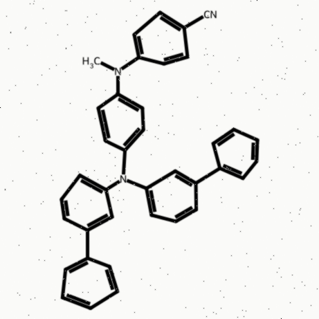 CN(c1ccc(C#N)cc1)c1ccc(N(c2cccc(-c3ccccc3)c2)c2cccc(-c3ccccc3)c2)cc1